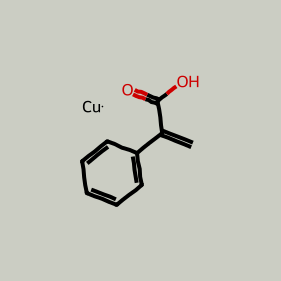 C=C(C(=O)O)c1ccccc1.[Cu]